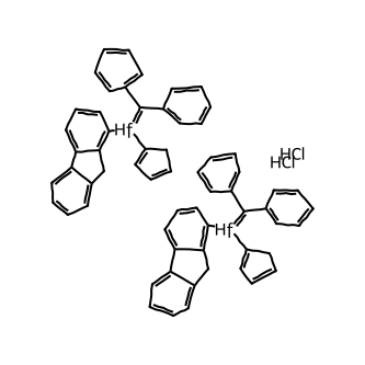 C1=CC[C]([Hf](=[C](c2ccccc2)c2ccccc2)[c]2cccc3c2Cc2ccccc2-3)=C1.C1=CC[C]([Hf](=[C](c2ccccc2)c2ccccc2)[c]2cccc3c2Cc2ccccc2-3)=C1.Cl.Cl